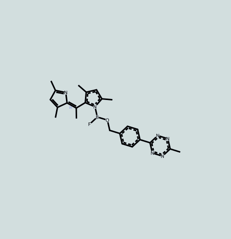 CC1=CC(C)=N/C1=C(/C)c1c(C)cc(C)n1B(F)OCc1ccc(-c2nnc(C)nn2)cc1